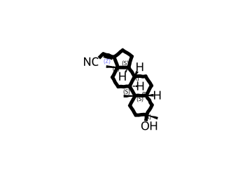 C[C@@]1(O)CC[C@@]2(C)[C@H](CC[C@@H]3[C@@H]2CC[C@]2(C)/C(=C\C#N)CC[C@@H]32)C1